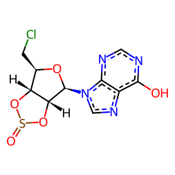 O=S1O[C@@H]2[C@H](O1)[C@@H](CCl)O[C@H]2n1cnc2c(O)ncnc21